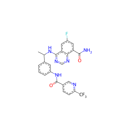 CC(Nc1ncnc2c(C(N)=O)cc(F)cc12)c1cccc(NC(=O)c2ccc(C(F)(F)F)nc2)c1